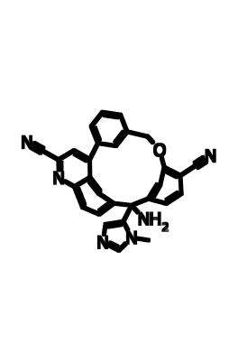 Cn1cncc1C1(N)c2ccc(C#N)c(c2)OCc2cccc(c2)-c2cc(C#N)nc3ccc1cc23